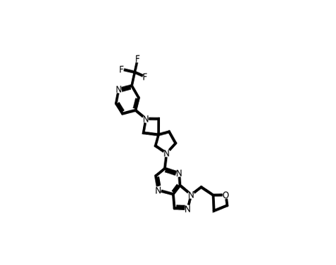 FC(F)(F)c1cc(N2CC3(CCN(c4cnc5cnn(CC6CCO6)c5n4)C3)C2)ccn1